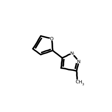 CC1=N[N]C(c2ccco2)=C1